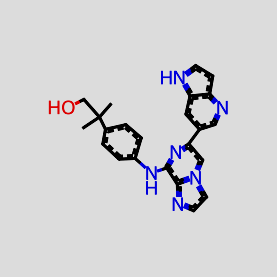 CC(C)(CO)c1ccc(Nc2nc(-c3cnc4cc[nH]c4c3)cn3ccnc23)cc1